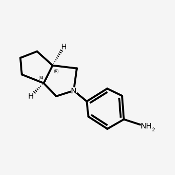 Nc1ccc(N2C[C@H]3CCC[C@H]3C2)cc1